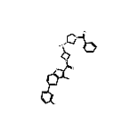 Cc1c(C(=O)N2CC(N[C@H]3CCN(C(=O)c4ccccc4)C3)C2)sc2ccc(-c3cccc(F)c3)cc12